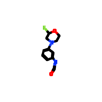 O=C=Nc1cccc(N2CCOC(F)C2)c1